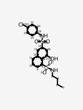 CCCCNS(=O)(=O)c1cccc2cc(S(=O)(=O)Nc3ccc(Cl)cc3)cc(O)c12